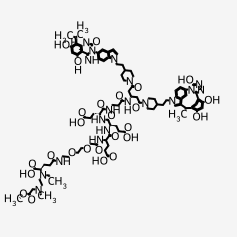 CCN(CCN(C)CC(=O)OC)[C@H](CCC(=O)NCCOCCOCC(=O)NC(CCC(=O)O)C(=O)N[C@H](CCC(=O)O)C(=O)N[C@H](CCC(=O)O)C(=O)NCCC(=O)NC(CC(=O)N1CCC(CCn2ccc3cc(N(C(=N)c4cc(C(C)C)c(O)cc4O)C(N)=O)ccc32)CC1)CC(=O)N1CCC(CCn2cc3c4cc(ccc42)-n2c(O)nnc2-c2cc(c(O)cc2O)C3C)CC1)C(=O)O